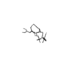 CCN(CC)CC1CCCC(CP(C(C)(C)C)C(C)(C)C)N1